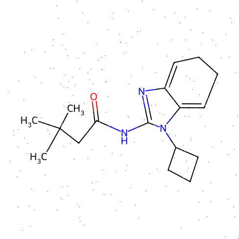 CC(C)(C)CC(=O)Nc1nc2c(n1C1CCC1)=CCCC=2